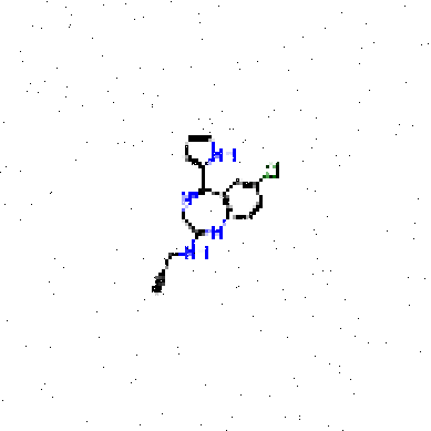 C#CCNC1=Nc2ccc(Cl)cc2C(c2ccc[nH]2)=NC1